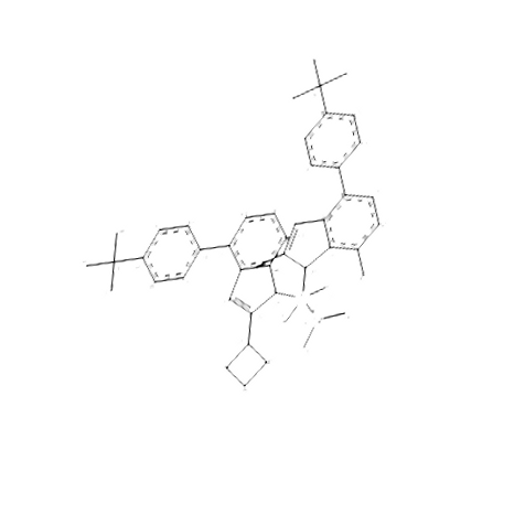 CC1=Cc2c(-c3ccc(C(C)(C)C)cc3)ccc(C)c2[CH]1[Zr]([Cl])([Cl])([CH]1C(C2CCC2)=Cc2c(-c3ccc(C(C)(C)C)cc3)cccc21)[SiH](C)C